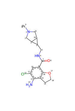 CC(C)N1CC2C(CNC(=O)c3cc(Cl)c(N)c4c3OCC4)C2C1